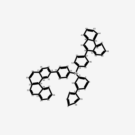 c1ccc(-c2cccc(N(c3ccc(-c4ccc5ccc6ccc7ccccc7c6c5c4)cc3)c3ccc(-c4cc5ccccc5c5ccccc45)cc3)c2)cc1